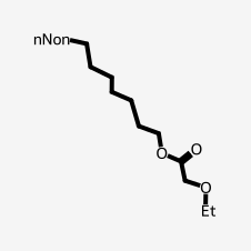 CCCCCCCCCCCCCCCCOC(=O)COCC